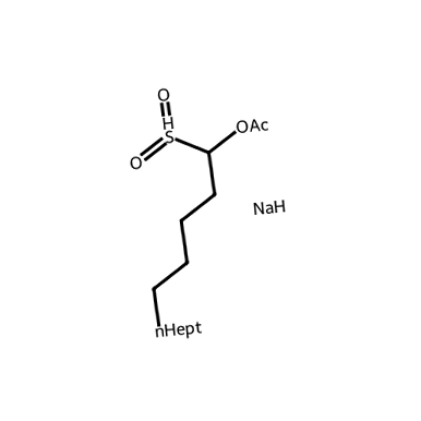 CCCCCCCCCCCC(OC(C)=O)[SH](=O)=O.[NaH]